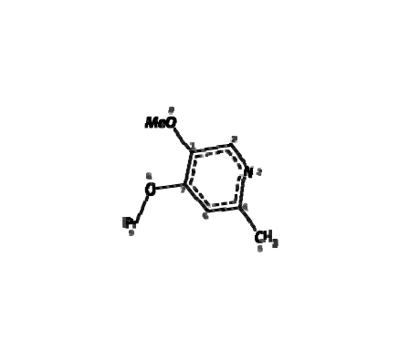 COc1cnc(C)cc1OC(C)C